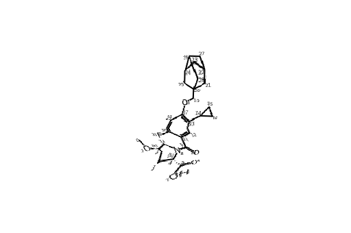 CO[C@@H]1C[C@@H](C(=O)O)N(C(=O)c2cc(C3CC3)c(OCC34CC5CC(C3)C(C5)C4)cc2F)C1